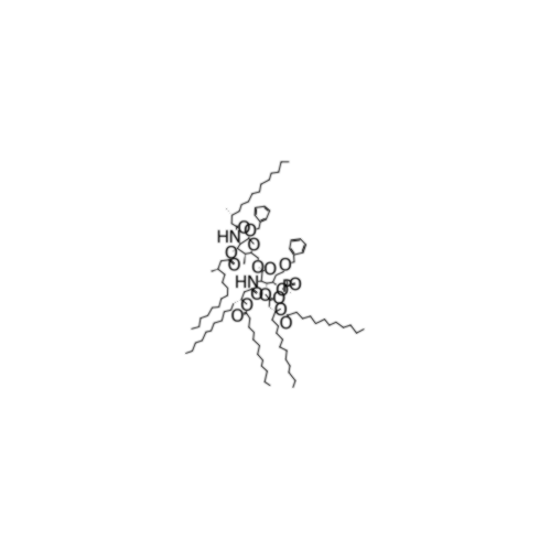 CCCCCCCCCCCC(=O)O[C@H](CCCCCCCCCCC)CC(=O)NC1[C@H](OCC2O[C@H](OCc3ccccc3)C(NC(=O)C[C@H](C)CCCCCCCCCCC)[C@@H](OC(=O)C[C@H](C)CCCCCCCCCCC)[C@@H]2C)OC(COCc2ccccc2)[C@@H](OP(C)(C)=O)[C@@H]1OC(=O)C[C@@H](CCCCCCCCCCC)OC(=O)CCCCCCCCCCC